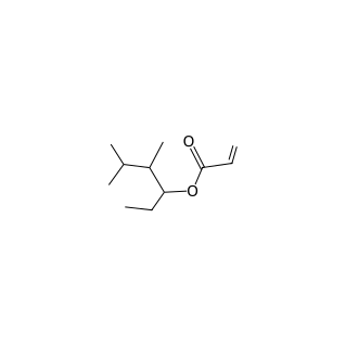 C=CC(=O)OC(CC)C(C)C(C)C